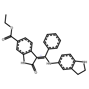 CCOC(=O)c1ccc2c(c1)NC(=O)/C2=C(\Nc1ccc2c(c1)CCN2)c1ccccc1